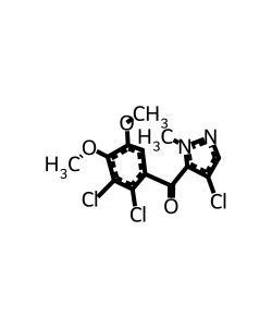 COc1cc(C(=O)c2c(Cl)cnn2C)c(Cl)c(Cl)c1OC